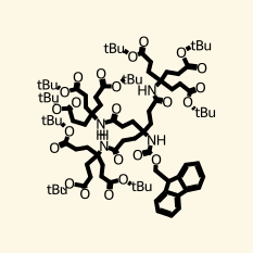 CC(C)(C)OC(=O)CCC(CCC(=O)OC(C)(C)C)(CCC(=O)OC(C)(C)C)NC(=O)CCC(CCC(=O)NC(CCC(=O)OC(C)(C)C)(CCC(=O)OC(C)(C)C)CCC(=O)OC(C)(C)C)(CCC(=O)NC(CCC(=O)OC(C)(C)C)(CCC(=O)OC(C)(C)C)CCC(=O)OC(C)(C)C)NC(=O)OCC1c2ccccc2-c2ccccc21